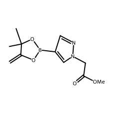 C=C1OB(c2cnn(CC(=O)OC)c2)OC1(C)C